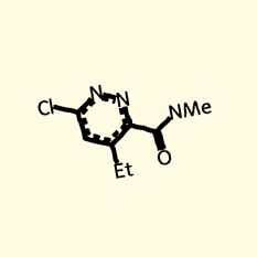 CCc1cc(Cl)nnc1C(=O)NC